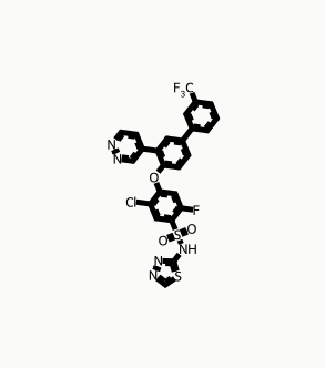 O=S(=O)(Nc1nncs1)c1cc(Cl)c(Oc2ccc(-c3cccc(C(F)(F)F)c3)cc2-c2ccnnc2)cc1F